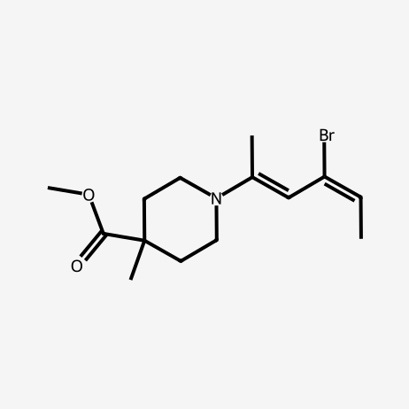 C/C=C(Br)\C=C(/C)N1CCC(C)(C(=O)OC)CC1